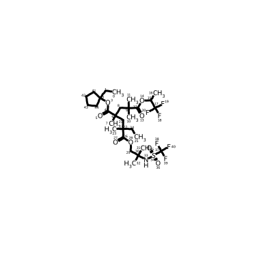 CCC1(OC(=O)C(C)(CC(C)(C)C(=O)OC(C)C(F)(F)F)CC(C)(CC)C(=O)OCC(C)(C)NS(=O)(=O)C(F)(F)F)CCCC1